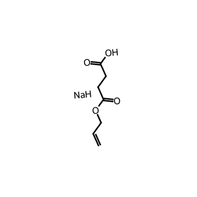 C=CCOC(=O)CCC(=O)O.[NaH]